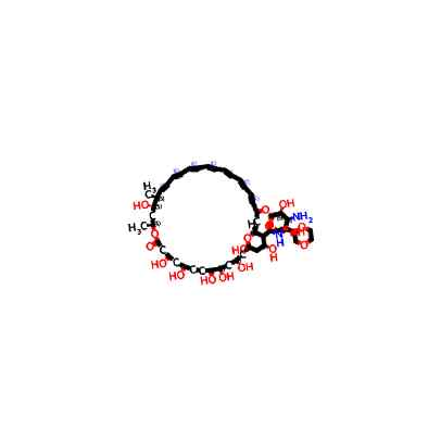 C[C@H]1C[C@H](O)[C@@H](C)/C=C/C=C/C=C/C=C/C=C/C=C/C=C/C(O[C@@H]2OC[C@@H](O)[C@H](N)[C@@H]2O)C[C@@H]2OC(O)(C[C@@H](O)C[C@@H](O)C(O)CCC(O)CC(O)CC(=O)O1)C[C@H](O)C2C(=O)NCC1COCCO1